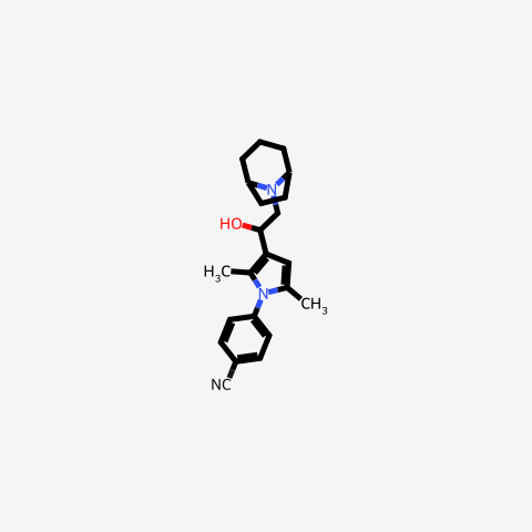 Cc1cc(C(O)CN2C3CCCC2CC3)c(C)n1-c1ccc(C#N)cc1